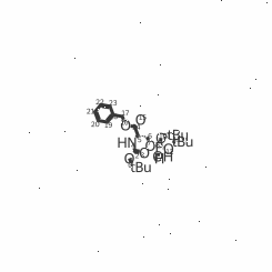 CC(C)(C)OC(=O)N[C@@H](CO[PH](O)(OC(C)(C)C)OC(C)(C)C)C(=O)OCc1ccccc1